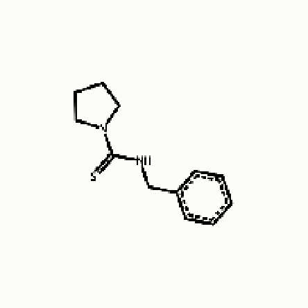 S=C(NCc1ccccc1)N1CCCC1